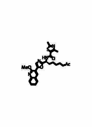 COc1nc2ccccc2cc1-c1cnc([C@H](CCCCCC(C)=O)NC(=O)c2sc(C)nc2C)o1